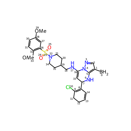 Bc1cnn2c1NC(C1=C(Cl)CCC=C1)C=C2NCC1CCN(S(=O)(=O)c2cc(OC)ccc2OC)CC1